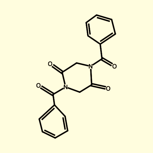 O=C1CN(C(=O)c2ccccc2)C(=O)CN1C(=O)c1ccccc1